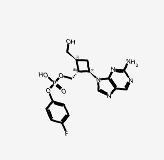 Nc1ncc2ncn([C@@H]3C[C@H](CO)[C@H]3COP(=O)(O)Oc3ccc(F)cc3)c2n1